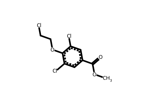 COC(=O)c1cc(Cl)c(OCCCl)c(Cl)c1